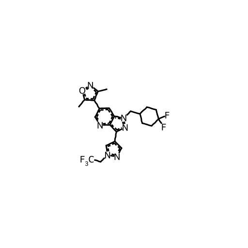 Cc1noc(C)c1-c1cnc2c(-c3cnn(CC(F)(F)F)c3)nn(CC3CCC(F)(F)CC3)c2c1